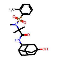 CN(C(C)(C)C(=O)NC1C2CC3CC1CC(O)(C3)C2)S(=O)(=O)c1ccccc1C(F)(F)F